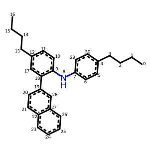 CCCCc1ccc(Nc2ccc(CCCC)cc2-c2ccc3ccccc3c2)cc1